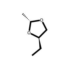 CC[C@@H]1CO[C@@H](C)O1